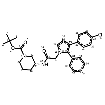 CC(C)(C)OC(=O)N1CCC[C@@H](NC(=O)Cn2cnc(-c3ccc(Cl)cc3)c2-c2ccncc2)C1